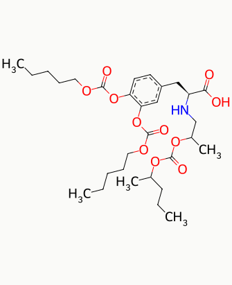 CCCCCOC(=O)Oc1ccc(C[C@H](NCC(C)OC(=O)OC(C)CCC)C(=O)O)cc1OC(=O)OCCCCC